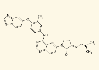 Cc1cc(Nc2ncnc3ccc(N4CC/C(=C\CN(C)C)C4=O)nc23)ccc1Oc1ccn2ncnc2c1